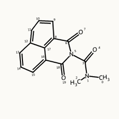 CN(C)C(=O)N1C(=O)c2cccc3cccc(c23)C1=O